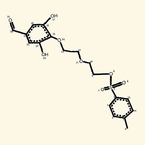 Cc1ccc(S(=O)(=O)OCCOCCOc2c(O)cc(C=O)cc2O)cc1